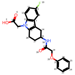 O=C(O)Cn1c2c(c3cc(F)ccc31)CC(NC(=O)COc1ccccc1)CC2